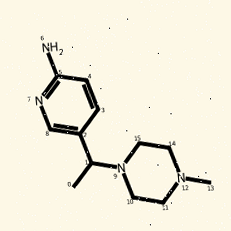 CC(c1ccc(N)nc1)N1CCN(C)CC1